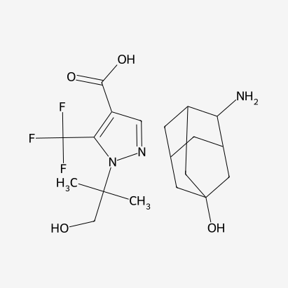 CC(C)(CO)n1ncc(C(=O)O)c1C(F)(F)F.NC1C2CC3CC1CC(O)(C3)C2